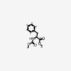 COC(=O)NC(Cc1ccccc1)C(=O)OC